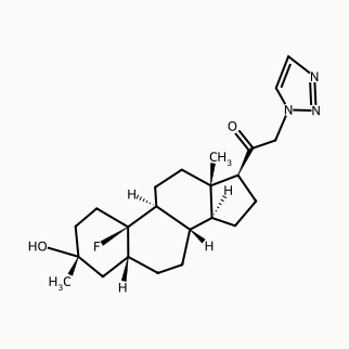 C[C@@]1(O)CC[C@@]2(F)[C@H](CC[C@H]3[C@@H]4CC[C@H](C(=O)Cn5ccnn5)[C@@]4(C)CC[C@@H]32)C1